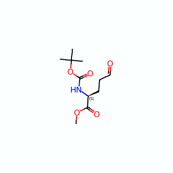 COC(=O)[C@H](CCC=O)NC(=O)OC(C)(C)C